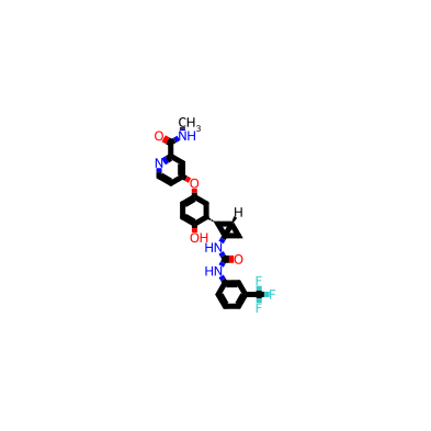 CNC(=O)c1cc(OC2=CC=C(O)C([C@@H]3[C@@H]4CC34NC(=O)Nc3cccc(C(F)(F)F)c3)C2)ccn1